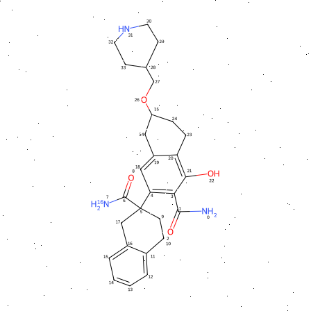 NC(=O)c1c(C2(C([16NH2])=O)CCc3ccccc3C2)cc2c(c1O)CCC(OCC1CCNCC1)C2